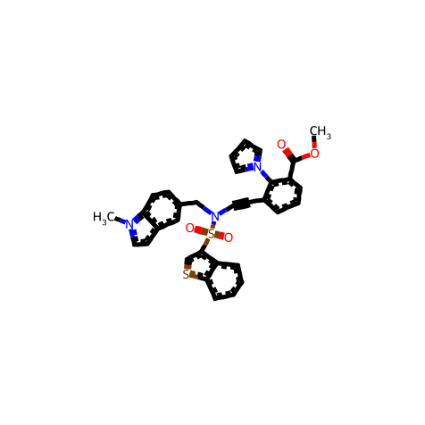 COC(=O)c1cccc(C#CN(Cc2ccc3c(ccn3C)c2)S(=O)(=O)c2csc3ccccc23)c1-n1cccc1